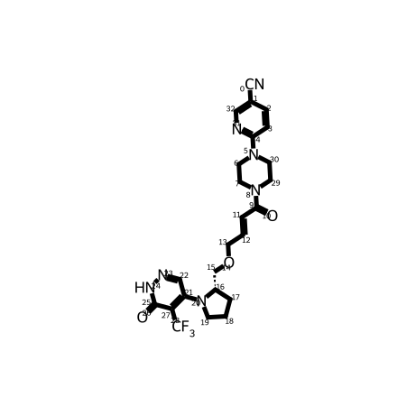 N#Cc1ccc(N2CCN(C(=O)/C=C/COC[C@@H]3CCCN3c3cn[nH]c(=O)c3C(F)(F)F)CC2)nc1